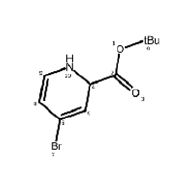 CC(C)(C)OC(=O)C1C=C(Br)C=CN1